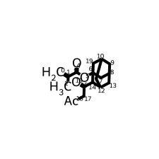 C=C(C)C(=O)OC12CC3CC(CC(C3)C1C(=O)CC(C)=O)C2